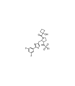 CCS(=O)(=O)NC1CCN(C(=O)C2(O)CCC2)C1Cc1csc(-c2cc(F)cc(F)c2)n1